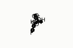 O=C(N[C@H](CN1CCCC1)[C@H](O)c1ccc2c(c1F)OCCO2)C(=O)c1ccc(-c2ccc(F)cc2)cc1